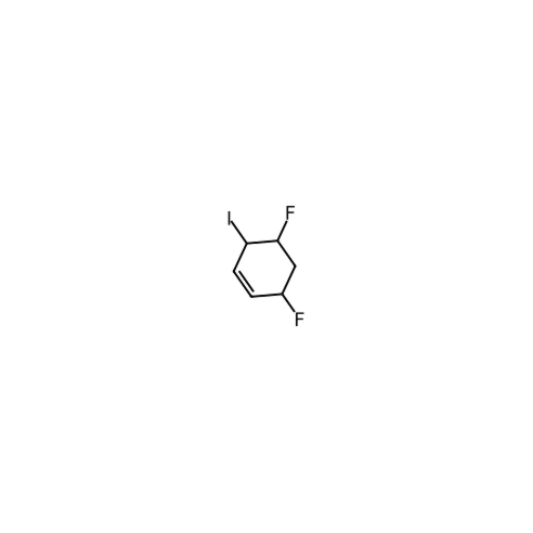 FC1C=CC(I)C(F)C1